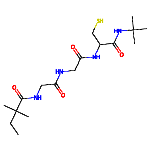 CCC(C)(C)C(=O)NCC(=O)NCC(=O)NC(CS)C(=O)NC(C)(C)C